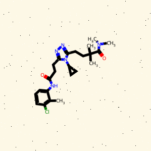 Cc1c(Cl)cccc1NC(=O)CCc1nnc(CCC(C)(C)C(=O)N(C)C)n1C1CC1